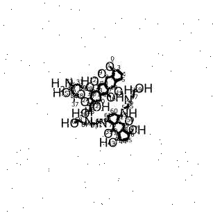 COc1cccc2c1C(=O)c1c(O)c3c(c(O)c1C2=O)C[C@@](O)(C(=O)CO)C[C@@H]3O[C@H]1C[C@H](N)[C@H](O)[C@H](C)O1.O=C1c2c(O)ccc(O)c2C(=O)c2c(NCCNCCO)ccc(NCCNCCO)c21